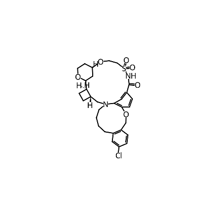 O=C1NS(=O)(=O)CCO[C@@H]2CCO[C@@H](C2)[C@@H]2CC[C@H]2CN2CCCCc3cc(Cl)ccc3COc3ccc1cc32